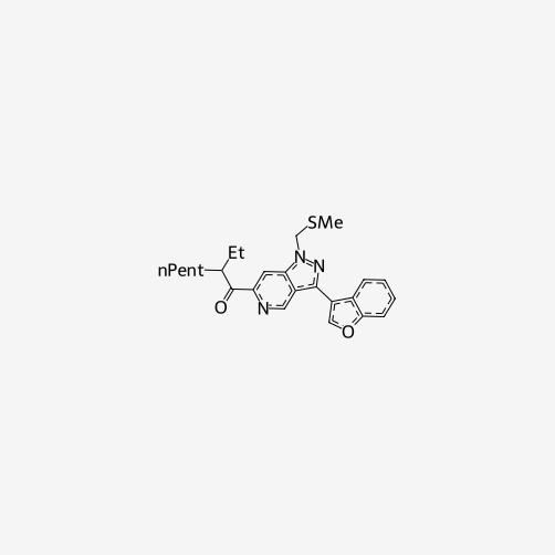 CCCCCC(CC)C(=O)c1cc2c(cn1)c(-c1coc3ccccc13)nn2CSC